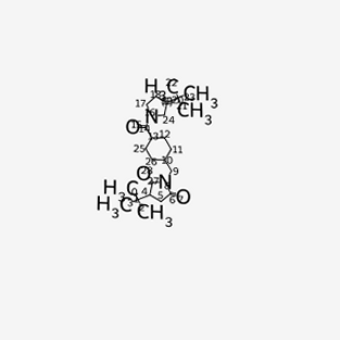 CC(C)(C)C1CC(=O)N(CC2CCC(C(=O)N3CC[C@@H](C(C)(C)C)C3)CC2)C1=O